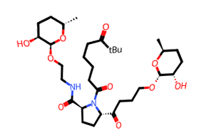 C[C@H]1CC[C@H](O)[C@H](OCCCC(=O)[C@@H]2CC[C@@H](C(=O)NCCO[C@@H]3O[C@@H](C)CC[C@@H]3O)N2C(=O)CCCCC(=O)C(C)(C)C)O1